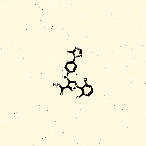 Cc1ncnn1-c1ccc(Nc2cn(-c3c(Cl)cccc3Cl)nc2C(N)=O)cc1